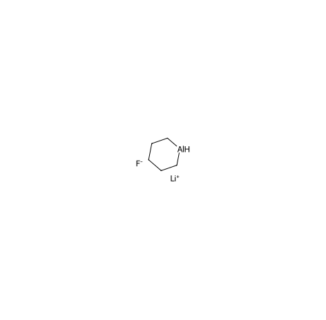 C1C[CH2][AlH][CH2]C1.[F-].[Li+]